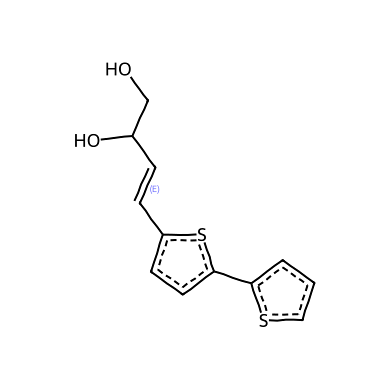 OCC(O)/C=C/c1ccc(-c2cccs2)s1